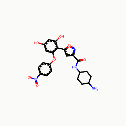 NC1CCC(NC(=O)c2cc(-c3c(O)cc(O)cc3Oc3ccc([N+](=O)[O-])cc3)on2)CC1